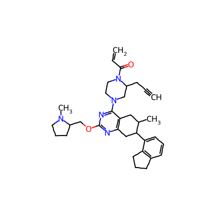 C#CCC1CN(c2nc(OCC3CCCN3C)nc3c2CC(C)C(c2cccc4c2CCC4)C3)CCN1C(=O)C=C